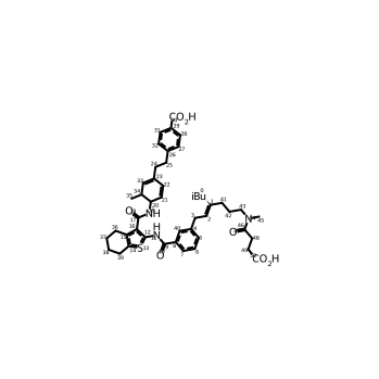 CC[C@@H](C)/C(=C\Cc1cccc(C(=O)Nc2sc3c(c2C(=O)NC2C=CC(CCc4ccc(C(=O)O)cc4)=CC2C)CCCC3)c1)CCCN(C)C(=O)CCC(=O)O